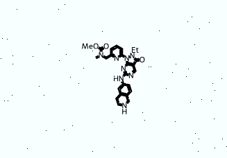 CCn1c(=O)c2cnc(Nc3ccc4c(c3)CCNC4)nc2n1-c1cccc(CN(C)C(=O)OC)n1